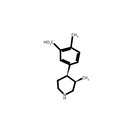 Cc1ccc([C@@H]2CCNC[C@@H]2C)cc1C(=O)O